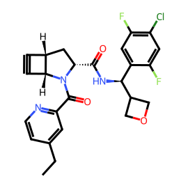 CCc1ccnc(C(=O)N2[C@@H](C(=O)N[C@@H](c3cc(F)c(Cl)cc3F)C3COC3)C[C@H]3C#C[C@H]32)c1